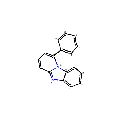 c1ccc(-c2cccc3nc4ccccc4n23)cc1